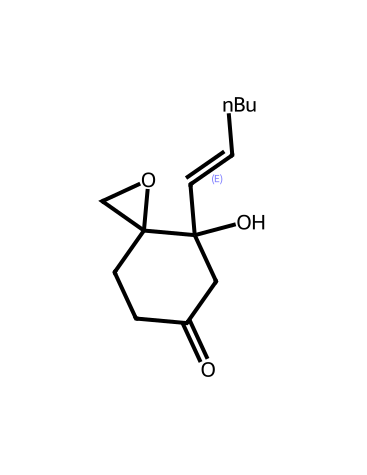 CCCC/C=C/C1(O)CC(=O)CCC12CO2